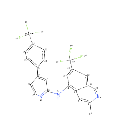 Cc1cc2c(Nc3cc(-c4ccc(C(F)(F)F)cc4)ccn3)cc(C(F)(F)F)cc2cn1